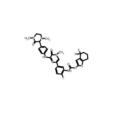 CN1CCN(C)C(c2ccc(Nc3nc(-c4ccc(F)c(NC(=O)Oc5cc6c(s5)CCCC6(F)F)c4)cn(C)c3=O)cc2)C1=O